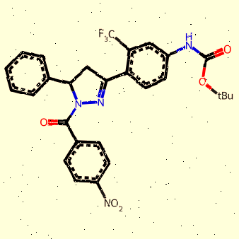 CC(C)(C)OC(=O)Nc1ccc(C2=NN(C(=O)c3ccc([N+](=O)[O-])cc3)C(c3ccccc3)C2)c(C(F)(F)F)c1